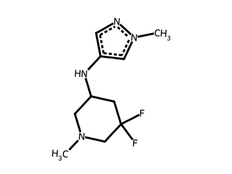 CN1CC(Nc2cnn(C)c2)CC(F)(F)C1